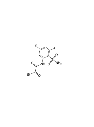 CCC(=O)C(=O)Nc1cc(F)cc(F)c1S(N)(=O)=O